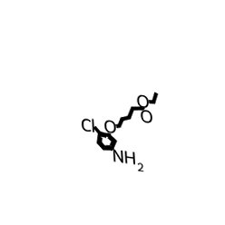 CCOC(=O)CCCCOc1cc(N)ccc1Cl